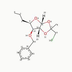 CCC[C@H]1O[C@@H]2OC(C)(CF)O[C@@H]2[C@H]1OCc1ccccc1